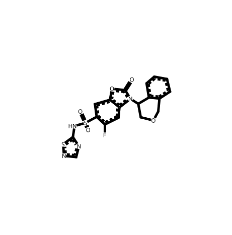 O=c1oc2cc(S(=O)(=O)Nc3ncns3)c(F)cc2n1C1COCc2ccccc21